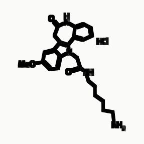 COc1ccc2c(c1)c1c(n2CC(=O)NCCCCCCN)-c2ccccc2NC(=O)C1.Cl